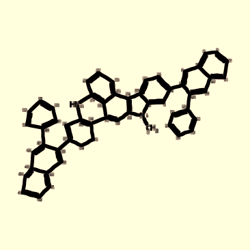 Cn1c2cc(-c3cc4ccccc4cc3-c3ccccc3)ccc2c2c3cccc4c3c(cc21)C1=C(C=C(c2cc3ccccc3cc2-c2ccccc2)CC1)N4